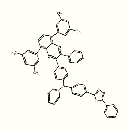 Cc1cc(C)cc(-c2ccc(-c3cc(C)cc(C)c3)c3nc(-c4ccc(N(c5ccccc5)c5ccc(-c6nnc(-c7ccccc7)o6)cc5)cc4)c(-c4ccccc4)nc23)c1